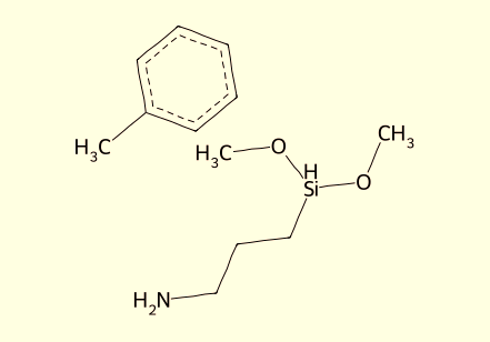 CO[SiH](CCCN)OC.Cc1ccccc1